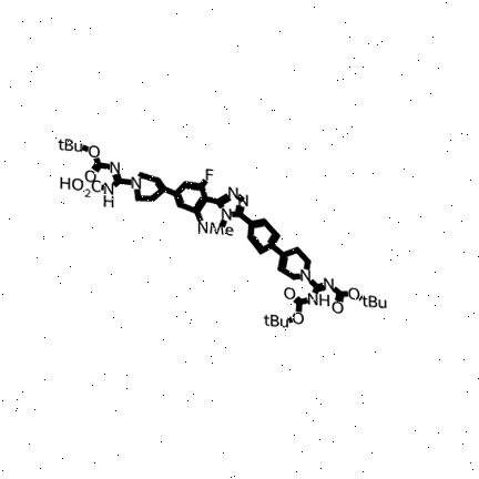 CNc1cc(C2=CCN(/C(=N/C(=O)OC(C)(C)C)NC(=O)O)CC2)cc(F)c1-c1nnc(-c2ccc(C3=CCN(/C(=N/C(=O)OC(C)(C)C)NC(=O)OC(C)(C)C)CC3)cc2)n1C